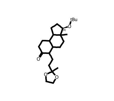 CC(C)(C)O[C@@H]1CCC2C3CCC(=O)C(CCC4(C)OCCO4)C3CCC21C